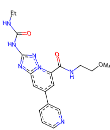 CCNC(=O)Nc1nc2cc(-c3cccnc3)cc(C(=O)NCCOC)n2n1